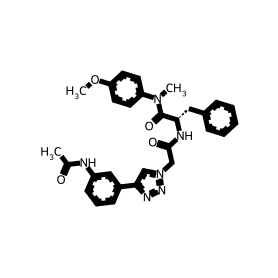 COc1ccc(N(C)C(=O)[C@H](Cc2ccccc2)NC(=O)Cn2cc(-c3cccc(NC(C)=O)c3)nn2)cc1